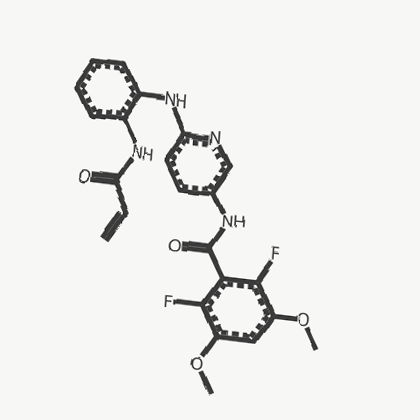 C=CC(=O)Nc1ccccc1Nc1ccc(NC(=O)c2c(F)c(OC)cc(OC)c2F)cn1